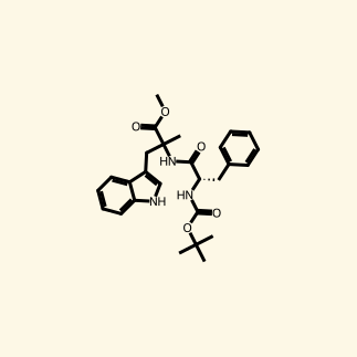 COC(=O)C(C)(Cc1c[nH]c2ccccc12)NC(=O)[C@H](Cc1ccccc1)NC(=O)OC(C)(C)C